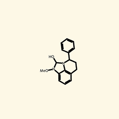 CON1c2cccc3c2N(C(c2ccccc2)CC3)C1O